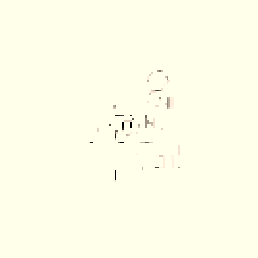 CNC(=O)C(Cc1c[nH]c2ccccc12)NC(=O)C(CC(C)C)C(O)C(N)=O